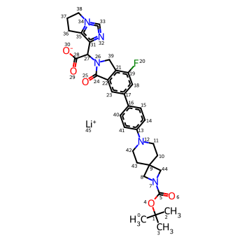 CC(C)(C)OC(=O)N1CC2(CCN(c3ccc(-c4cc(F)c5c(c4)C(=O)N(C(C(=O)[O-])c4ncn6c4CCC6)C5)cc3)CC2)C1.[Li+]